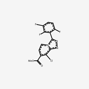 COC(=O)c1ccn2c(-c3c(F)ccc(F)c3F)nnc2c1Cl